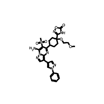 COCCOC1(c2noc(=O)[nH]2)CCC(c2nc3c(-c4cnn(-c5ccccc5)c4)cnn3c(N)c2S(C)(=O)=O)CC1